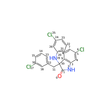 O=C1Nc2cc(Cl)ccc2C1(Cc1cccc(Cl)c1)Nc1cccc(Cl)c1